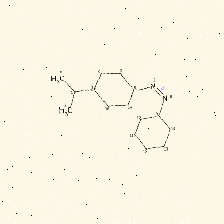 CC(C)C1CCC(/N=N\C2CCCCC2)CC1